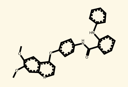 COc1cc2nccc(Oc3ccc(NC(=O)c4ccccc4Nc4ccccc4)cc3)c2cc1OC